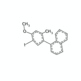 COc1cc(C)c(-c2cccc3ccccc23)cc1I